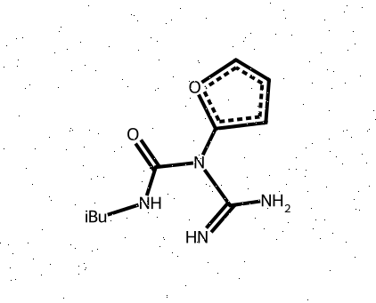 CCC(C)NC(=O)N(C(=N)N)c1ccco1